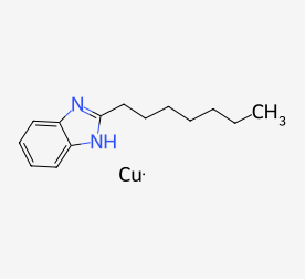 CCCCCCCc1nc2ccccc2[nH]1.[Cu]